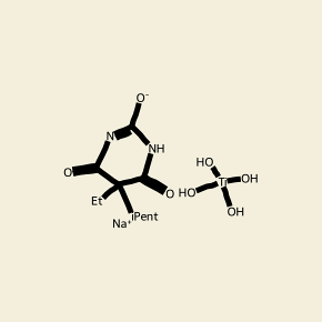 CCCC(C)C1(CC)C(=O)N=C([O-])NC1=O.[Na+].[OH][Ti]([OH])([OH])[OH]